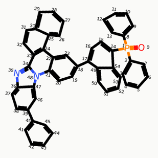 O=P(c1ccccc1)(c1ccccc1)c1ccc(-c2ccc3c(c2)c2c4ccccc4ccc2c2nc4ccc(-c5ccccc5)cc4n32)c2ccccc12